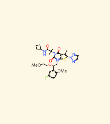 COCCO[C@@H](Cn1c(=O)n(C(C)(C)C(=O)NC2CCC2)c(=O)c2c(C)c(-n3nccn3)sc21)c1cc(F)ccc1OC